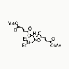 C=C(/C=C/C(=O)OC)OC(COC(=O)/C=C/C(=O)OC)CN(CC)CC